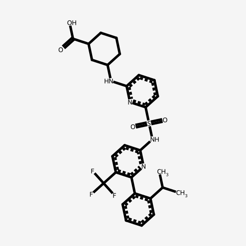 CC(C)c1ccccc1-c1nc(NS(=O)(=O)c2cccc(NC3CCCC(C(=O)O)C3)n2)ccc1C(F)(F)F